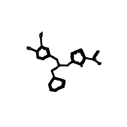 O=[N+]([O-])c1ccc(CN(Cc2ccccc2)Cc2ccc(Cl)c(Cl)c2)s1